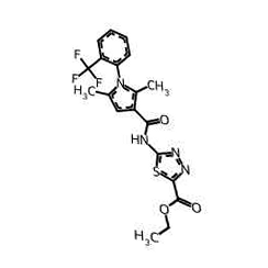 CCOC(=O)c1nnc(NC(=O)c2cc(C)n(-c3ccccc3C(F)(F)F)c2C)s1